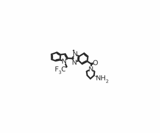 Cn1c(-c2cc3ccccc3n2CC(F)(F)F)nc2cc(C(=O)N3CCC[C@@H](N)C3)ccc21